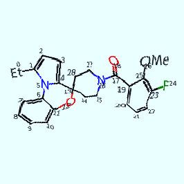 CCc1ccc2n1-c1ccccc1OC21CCN(C(=O)c2cccc(F)c2OC)CC1